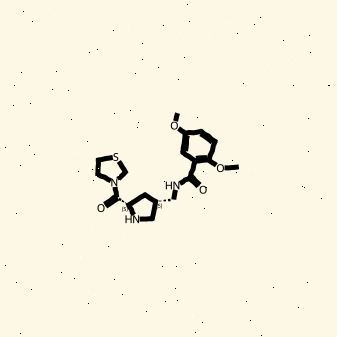 COc1ccc(OC)c(C(=O)NC[C@@H]2CN[C@H](C(=O)N3CCSC3)C2)c1